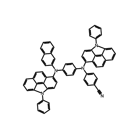 N#Cc1ccc(N(c2ccc(N(c3ccc4ccccc4c3)c3ccc4c5c3ccc3cccc(c35)n4-c3ccccc3)cc2)c2ccc3c4c2ccc2cccc(c24)n3-c2ccccc2)cc1